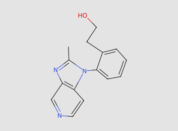 Cc1nc2cnccc2n1-c1ccccc1CCO